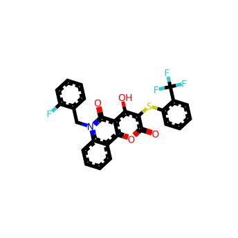 O=c1oc2c(c(O)c1Sc1ccccc1C(F)(F)F)c(=O)n(Cc1ccccc1F)c1ccccc21